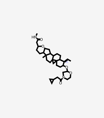 C/C=C1\C(OC2CN(C(=O)CC3CC3)CCO2)CCC23CC24CCC2(C)C5CCC(CC(=O)NC)OC5CC2C4CCC13